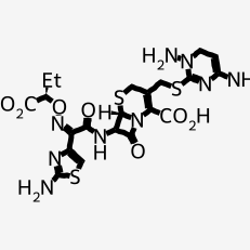 CC[C@H](O/N=C(\C(=O)NC1C(=O)N2C(C(=O)O)=C(CSC3=NC(N)=CCN3N)CS[C@@H]12)c1csc(N)n1)C(=O)O